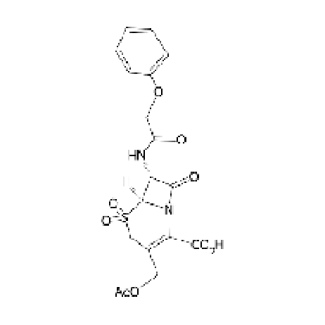 CC(=O)OCC1=C(C(=O)O)N2C(=O)[C@@H](NC(=O)COc3ccccc3)[C@@H]2S(=O)(=O)C1